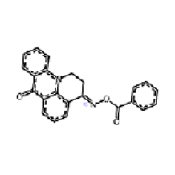 O=C(O/N=C1\CCn2c3ccccc3c(=O)c3cccc1c32)c1ccccc1